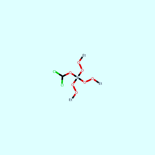 CCOO[Si](OOCC)(OOCC)OC(Cl)Cl